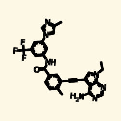 CCn1cc(C#Cc2cc(C(=O)Nc3cc(-n4cnc(C)c4)cc(C(F)(F)F)c3)ccc2C)c2c(N)ncnc21